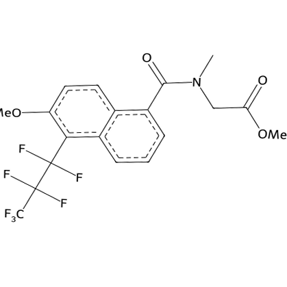 COC(=O)CN(C)C(=O)c1cccc2c(C(F)(F)C(F)(F)C(F)(F)F)c(OC)ccc12